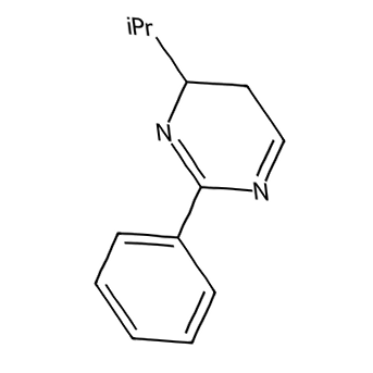 CC(C)C1CC=NC(c2ccccc2)=N1